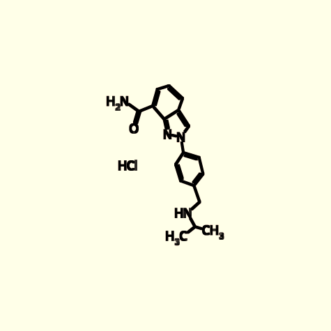 CC(C)NCc1ccc(-n2cc3cccc(C(N)=O)c3n2)cc1.Cl